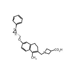 CC1=C(CN2CC(C(=O)O)C2)CCc2cc(OC[C@@H]3C[C@H]3c3ccccc3)ccc21